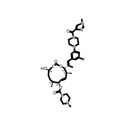 C/C(=C\c1cc(F)cc(N2CCN(C(=O)c3cn(C)cn3)CC2)c1)[C@H]1OC(=O)C[C@H](O)CC[C@H](C)[C@H](OC(=O)N2CCN(C)CC2)/C=C/[C@@H]1C